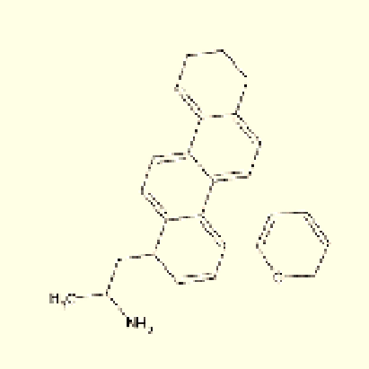 C1=CCOC=C1.CC(N)CC1C=CC=c2c1ccc1c3c(ccc21)CCCC=3